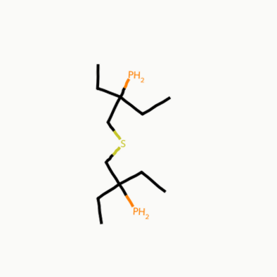 CCC(P)(CC)CSCC(P)(CC)CC